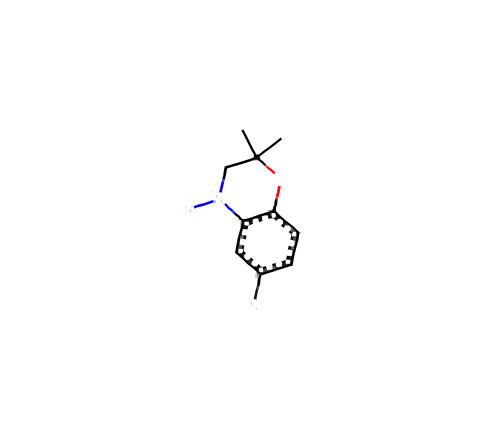 CC1(C)CN(N)c2cc([N+](=O)[O-])ccc2O1